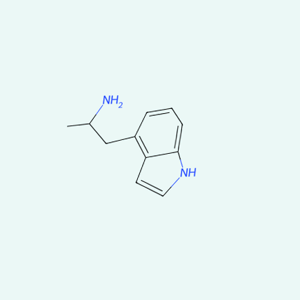 CC(N)Cc1cccc2[nH]ccc12